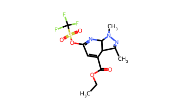 CCOC(=O)C1=CC(OS(=O)(=O)C(F)(F)F)=NC2C1C(C)=NN2C